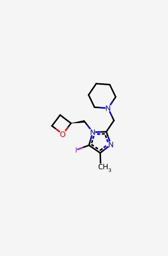 Cc1nc(CN2CCCCC2)n(C[C@@H]2CCO2)c1I